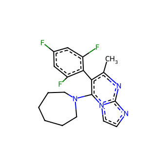 Cc1nc2nccn2c(N2CCCCCC2)c1-c1c(F)cc(F)cc1F